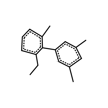 CCc1cccc(C)c1-c1[c]c(C)cc(C)c1